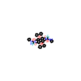 O=C(Nc1ccccc1)C(N1C(=O)c2cc(Oc3ccccc3)c3c4c(Oc5ccccc5)cc5c6c(cc(Oc7ccccc7)c(c7c(Oc8ccccc8)cc(c2c37)C1=O)c64)C(=O)N(C(C(=O)Nc1ccccc1)C(F)(F)F)C5=O)C(F)(F)F